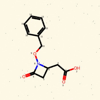 O=C(O)CC1CC(=O)N1OCc1ccccc1